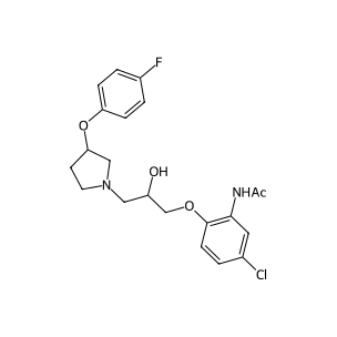 CC(=O)Nc1cc(Cl)ccc1OCC(O)CN1CCC(Oc2ccc(F)cc2)C1